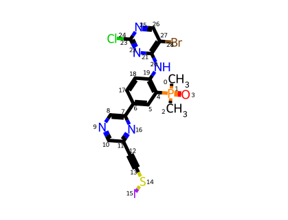 CP(C)(=O)c1cc(-c2cncc(C#CSI)n2)ccc1Nc1nc(Cl)ncc1Br